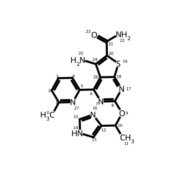 Cc1cccc(-c2nc(OC(C)c3c[nH]cn3)nc3sc(C(N)=O)c(N)c23)n1